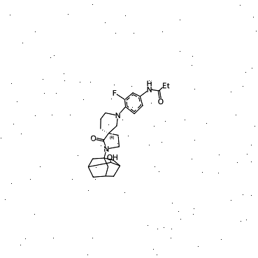 CCC(=O)Nc1ccc(N2CCC[C@@]3(CCN(C45CC6CC(C4)C(O)C(C6)C5)C3=O)C2)c(F)c1